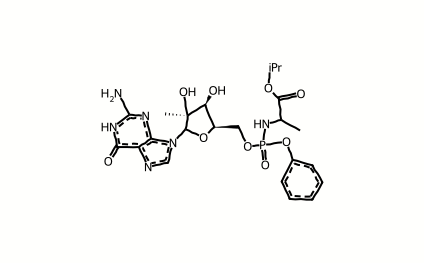 CC(C)OC(=O)C(C)NP(=O)(OC[C@H]1OC(n2cnc3c(=O)[nH]c(N)nc32)[C@@](C)(O)[C@H]1O)Oc1ccccc1